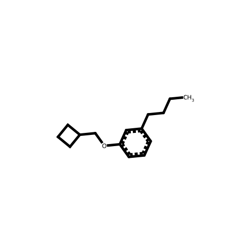 CCCCc1cccc(OCC2CCC2)c1